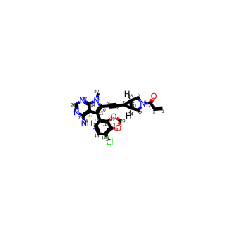 C=CC(=O)N1C[C@@H]2C(C#Cc3c(-c4ccc(Cl)c5c4OCO5)c4c(N)ncnc4n3C)[C@@H]2C1